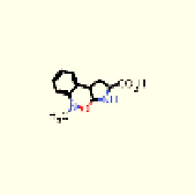 CN1OC2NC(C(=O)O)CC2c2ccccc21